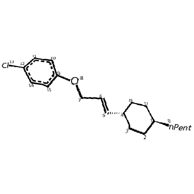 CCCCC[C@H]1CC[C@H](/C=C/COc2ccc(Cl)cc2)CC1